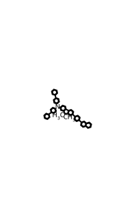 CC1(C)c2cc(-c3ccc(-c4ccc5ccccc5c4)cc3)ccc2-c2ccc(N(c3ccc(-c4ccccc4)cc3)c3ccc(-c4ccccc4)cc3)cc21